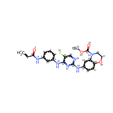 C=CC(=O)Nc1cccc(Nc2nc(Nc3ccc4c(c3)N(C(=O)OC(C)(C)C)CCO4)ncc2F)c1